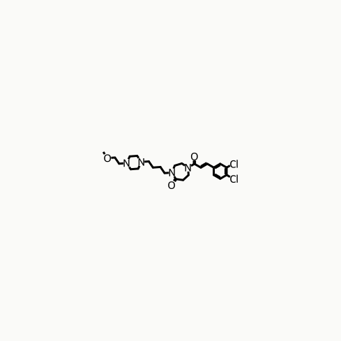 COCCN1CCN(CCCCN2CCN(C(=O)C=Cc3ccc(Cl)c(Cl)c3)CCC2=O)CC1